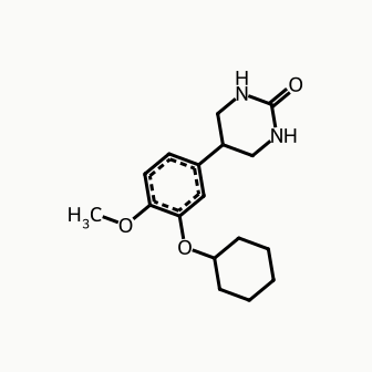 COc1ccc(C2CNC(=O)NC2)cc1OC1CCCCC1